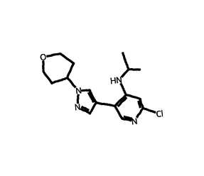 CC(C)Nc1cc(Cl)ncc1-c1cnn(C2CCOCC2)c1